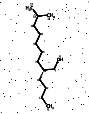 CCCC[C@@H](CO)CCCCCC(C)C